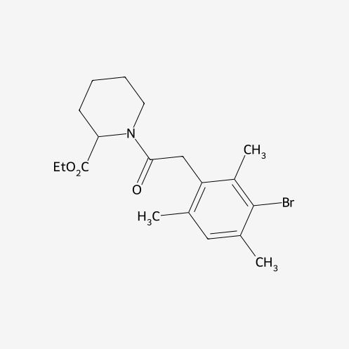 CCOC(=O)C1CCCCN1C(=O)Cc1c(C)cc(C)c(Br)c1C